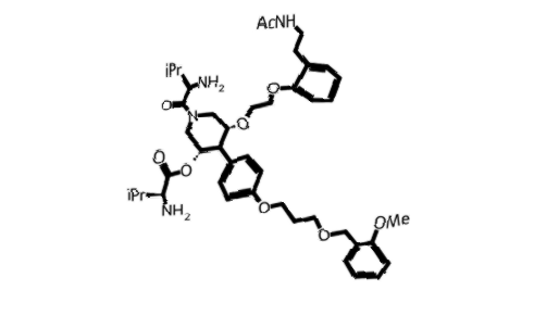 COc1ccccc1COCCCOc1ccc(C2[C@@H](OCCOc3ccccc3CCNC(C)=O)CN(C(=O)C(N)C(C)C)C[C@H]2OC(=O)[C@@H](N)C(C)C)cc1